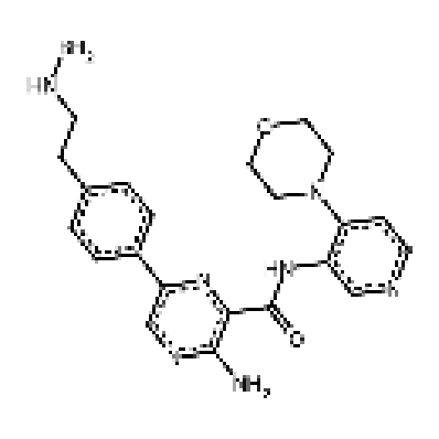 BNCCc1ccc(-c2cnc(N)c(C(=O)Nc3cnccc3N3CCOCC3)n2)cc1